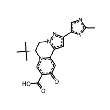 Cc1ncc(-c2cc3n(n2)C[C@@H](C(C)(C)C)n2cc(C(=O)O)c(=O)cc2-3)s1